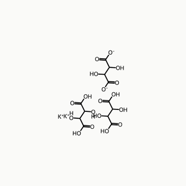 O=C(O)C(O)C(O)C(=O)O.O=C(O)C(O)C(O)C(=O)O.O=C([O-])C(O)C(O)C(=O)[O-].[K+].[K+]